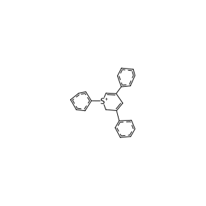 C1=C(c2ccccc2)C=C(c2ccccc2)C[S+]1c1ccccc1